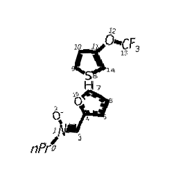 CCC[N+]([O-])=Cc1ccc([SH]2C=CC(OC(F)(F)F)=C2)o1